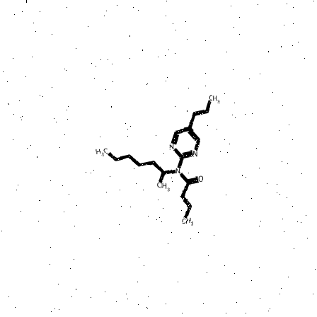 CCCCCC(C)N(C(=O)CCC)c1ncc(CCC)cn1